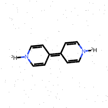 [2H]N1C=CC(=C2C=CN([2H])C=C2)C=C1